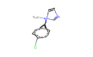 C[N+]1(c2ccc(Cl)cc2)C=CN=C1